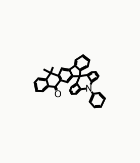 CC1(C)c2ccccc2C(=O)c2cc3c(cc21)-c1ccccc1C31c2ccccc2N(c2ccccc2)c2ccccc21